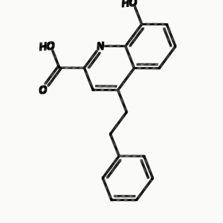 O=C(O)c1cc(CCc2ccccc2)c2cccc(O)c2n1